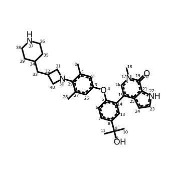 Cc1cc(Oc2ccc(C(C)(C)O)cc2-c2cn(C)c(=O)c3[nH]ccc23)cc(C)c1N1CC(CC2CCNCC2)C1